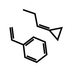 C=Cc1ccccc1.CCC=C1CC1